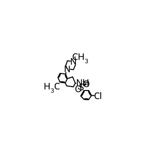 Cc1ccc(N2CCN(C)CC2)c2c1CC[C@@H](NS(=O)(=O)c1cccc(Cl)c1)C2